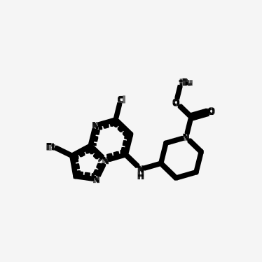 CCc1cnn2c(NC3CCCN(C(=O)OC(C)(C)C)C3)cc(Cl)nc12